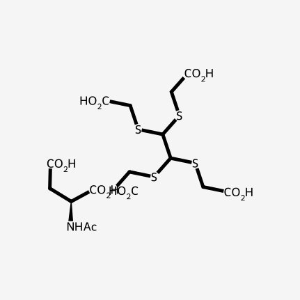 CC(=O)N[C@@H](CC(=O)O)C(=O)O.O=C(O)CSC(SCC(=O)O)C(SCC(=O)O)SCC(=O)O